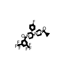 O=C(c1cc(C(F)(F)F)cc(C(F)(F)F)c1)N1CC[C@@H](N2CCN(C(=O)C3CC3)CC2)[C@@H](c2ccc(F)cc2)C1